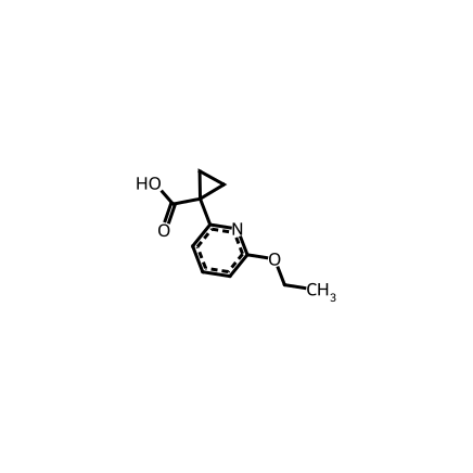 CCOc1cccc(C2(C(=O)O)CC2)n1